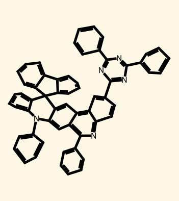 c1ccc(-c2nc(-c3ccccc3)nc(-c3ccc4nc(-c5ccccc5)c5cc6c(cc5c4c3)C3(c4ccccc4-c4ccccc43)c3ccccc3N6c3ccccc3)n2)cc1